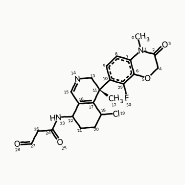 CN1C(=O)COc2c1ccc([C@@]1(C)CN=CC3=C1C(Cl)CCC3NC(=O)CC=O)c2F